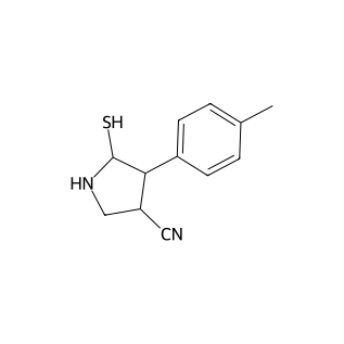 Cc1ccc(C2C(C#N)CNC2S)cc1